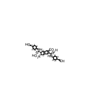 C#Cc1ccc(NC(=O)C2C3CC(C2C(=O)O)C2C4CC(C(C(=O)O)C4C(=O)Nc4ccc(C#C)cc4)C32)cc1